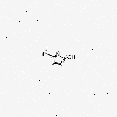 CC(C)c1ccn(O)n1